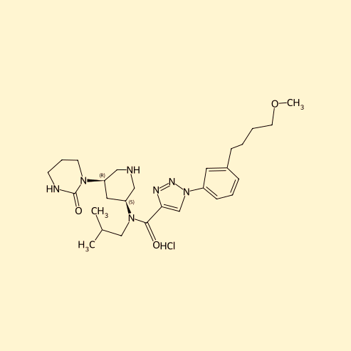 COCCCCc1cccc(-n2cc(C(=O)N(CC(C)C)[C@@H]3CNC[C@H](N4CCCNC4=O)C3)nn2)c1.Cl